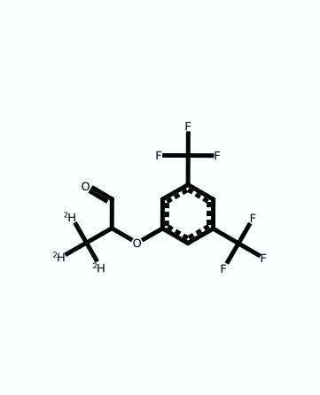 [2H]C([2H])([2H])C(C=O)Oc1cc(C(F)(F)F)cc(C(F)(F)F)c1